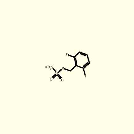 O=S(=O)(O)S(=O)(=O)OCc1c(F)cccc1F